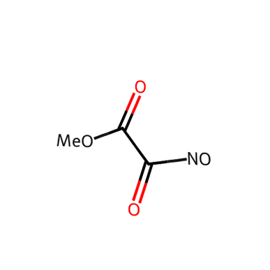 COC(=O)C(=O)N=O